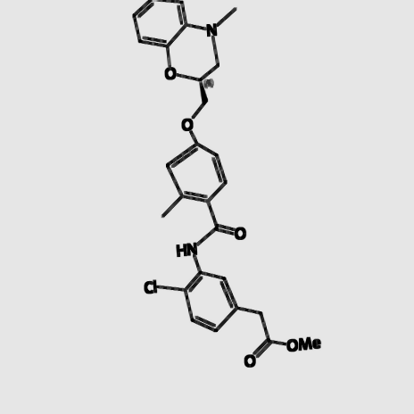 COC(=O)Cc1ccc(Cl)c(NC(=O)c2ccc(OC[C@@H]3CN(C)c4ccccc4O3)cc2C)c1